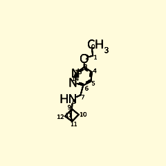 CCOc1ccc(CNC23CC(C2)C3)nn1